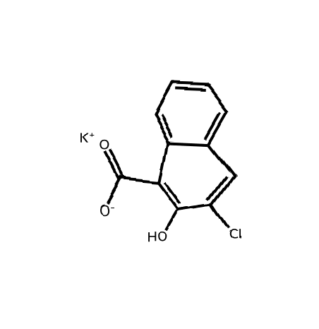 O=C([O-])c1c(O)c(Cl)cc2ccccc12.[K+]